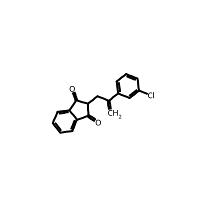 C=C(CC1C(=O)c2ccccc2C1=O)c1cccc(Cl)c1